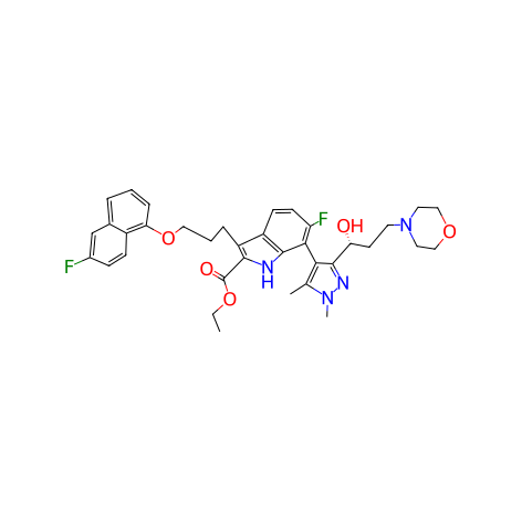 CCOC(=O)c1[nH]c2c(-c3c([C@H](O)CCN4CCOCC4)nn(C)c3C)c(F)ccc2c1CCCOc1cccc2cc(F)ccc12